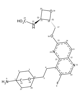 NC12CCC(CCc3c(F)cnc4ccc(OC[C@H]5OC[C@@H]5NC(=O)O)nc34)(CC1)OC2